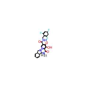 CCN1C(=O)c2c(O)c(=O)c(C(=O)NCC3=C(F)CC(F)C=C3F)cn2N2CC3C=CC=CC3[C@@H]12